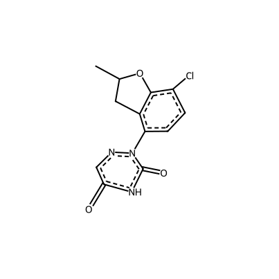 CC1Cc2c(-n3ncc(=O)[nH]c3=O)ccc(Cl)c2O1